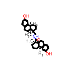 C[C@]1(CNC(=O)[C@@]2(C)CCC[C@]3(C)c4cc(O)ccc4CC[C@@H]23)CCC[C@]2(C)c3cc(O)ccc3CC[C@@H]12